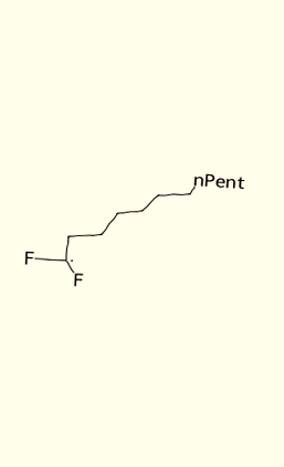 CCCCCCCCCCC[C](F)F